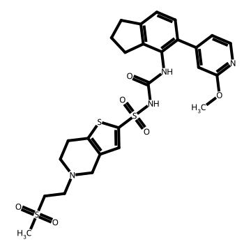 COc1cc(-c2ccc3c(c2NC(=O)NS(=O)(=O)c2cc4c(s2)CCN(CCS(C)(=O)=O)C4)CCC3)ccn1